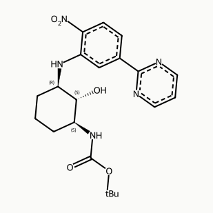 CC(C)(C)OC(=O)N[C@H]1CCC[C@@H](Nc2cc(-c3ncccn3)ccc2[N+](=O)[O-])[C@@H]1O